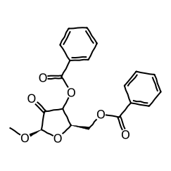 CO[C@@H]1O[C@H](COC(=O)c2ccccc2)C(OC(=O)c2ccccc2)C1=O